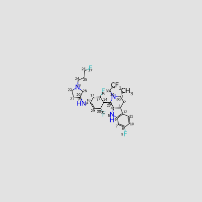 C[C@@H]1Cc2c([nH]c3cc(F)ccc23)[C@@H](C2C(F)=CC(N[C@H]3CCN(CCCF)C3)=CC2F)N1CC(F)(F)F